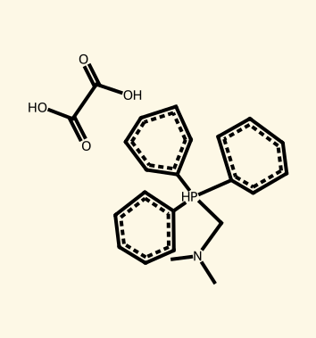 CN(C)C[PH](c1ccccc1)(c1ccccc1)c1ccccc1.O=C(O)C(=O)O